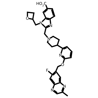 Cc1cnc2cc(F)c(COc3cccc(C4CCN(Cc5nc6ccc(C(=O)O)cc6n5CC5CCO5)CC4)n3)cc2n1